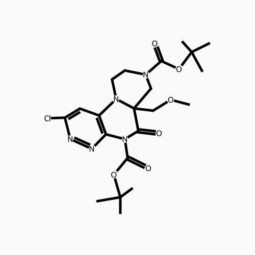 COCC12CN(C(=O)OC(C)(C)C)CCN1c1cc(Cl)nnc1N(C(=O)OC(C)(C)C)C2=O